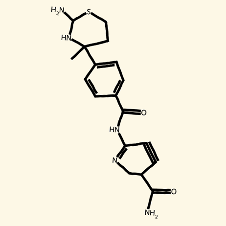 CC1(c2ccc(C(=O)NC3=NCC(C(N)=O)C#C3)cc2)CCSC(N)N1